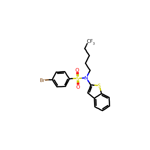 O=S(=O)(c1ccc(Br)cc1)N(CCCCC(F)(F)F)c1cc2ccccc2s1